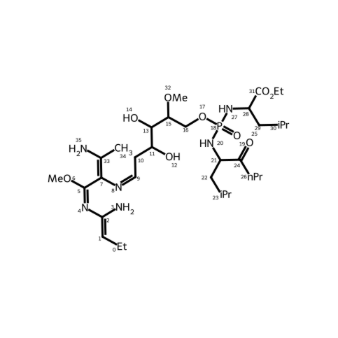 CC/C=C(N)/N=C(/OC)C(/N=C\CC(O)C(O)C(COP(=O)(NC(CC(C)C)C(=O)CCC)NC(CC(C)C)C(=O)OCC)OC)=C(C)N